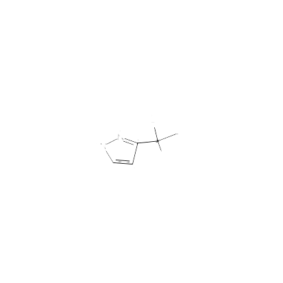 FC(F)(F)C1=N[N]C=C1